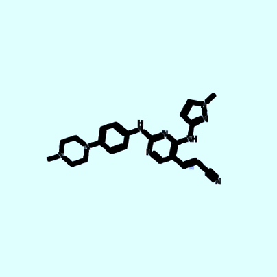 CN1CCN(c2ccc(Nc3ncc(/C=C/C#N)c(Nc4ccn(C)n4)n3)cc2)CC1